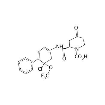 O=C1CCN(C(=O)O)[C@@H](C(=O)NC2=CC=C(c3ccccc3)C(Cl)(OC(F)(F)F)C2)C1